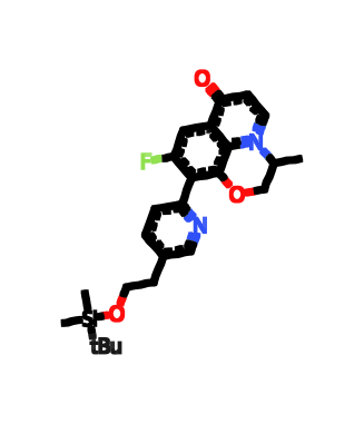 CC1COc2c(-c3ccc(CCO[Si](C)(C)C(C)(C)C)cn3)c(F)cc3c(=O)ccn1c23